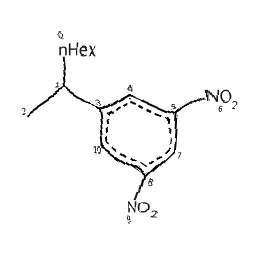 CCCCCCC(C)c1[c]c([N+](=O)[O-])cc([N+](=O)[O-])c1